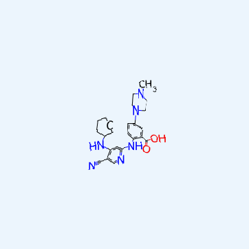 CN1CCN(c2ccc(Nc3cc(NC4CCCCC4)c(C#N)cn3)c(C(=O)O)c2)CC1